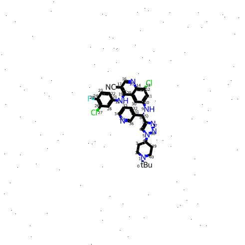 CC(C)(C)N1CCC(n2cc([C@@H](Nc3cc(Cl)c4ncc(C#N)c(Nc5ccc(F)c(Cl)c5)c4c3)c3cccnc3)nn2)CC1